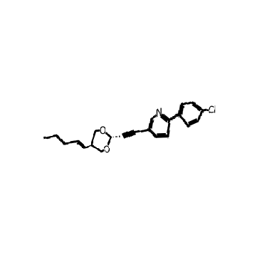 CCC/C=C/[C@H]1CO[C@H](C#Cc2ccc(-c3ccc(Cl)cc3)nc2)OC1